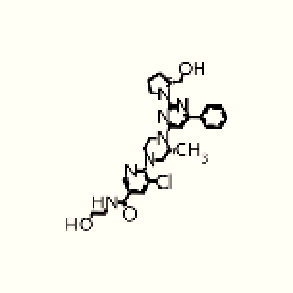 C[C@@H]1CN(c2ncc(C(=O)NCCO)cc2Cl)CCN1c1cc(-c2ccccc2)nc(N2CCC[C@H]2CO)n1